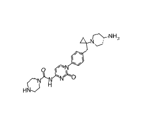 NC1CCN(C2(Cc3ccc(-n4ccc(NC(=O)N5CCNCC5)nc4=O)cc3)CC2)CC1